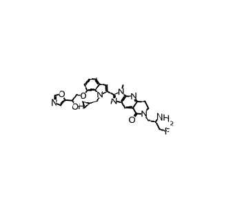 Cn1c(-c2cc3cccc(OCC(O)c4cnco4)c3n2CC2CC2)nc2cc3c(nc21)CCN(CC(N)CF)C3=O